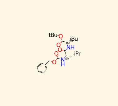 CC[C@H](C)[C@H](NC(=O)[C@H](CC(C)C)NC(=O)OCc1ccccc1)C(=O)OC(C)(C)C